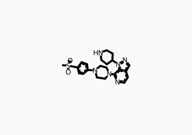 CS(=O)(=O)c1ccc(N2CCN(c3nccc4cnn(C5CCNCC5)c34)CC2)cc1